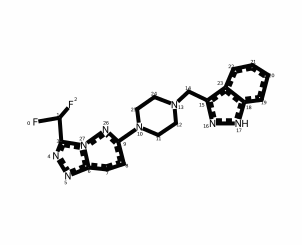 FC(F)c1nnc2ccc(N3CCN(Cc4n[nH]c5ccccc45)CC3)nn12